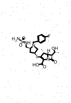 C[C@@H](O)[C@H]1C(=O)N2C(C(=O)O)=C(S[C@H]3C[C@@H](CNS(N)(=O)=O)N(Cc4ccc(F)cc4)C3)[C@H](C)[C@H]12